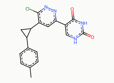 Cc1ccc(C2CC2c2cc(-c3c[nH]c(=O)[nH]c3=O)nnc2Cl)cc1